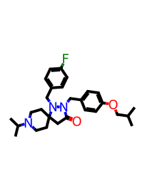 CC(C)COc1ccc(CN2C(=O)CC3(CCN(C(C)C)CC3)N2Cc2ccc(F)cc2)cc1